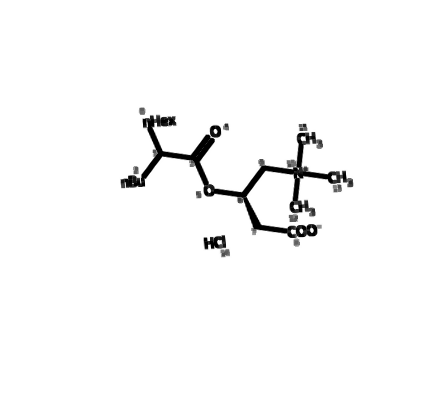 CCCCCCC(CCCC)C(=O)O[C@H](CC(=O)[O-])C[N+](C)(C)C.Cl